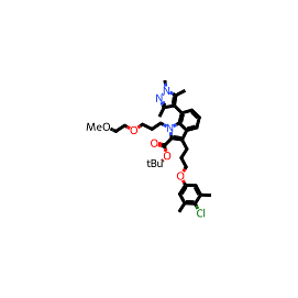 COCCOCCCn1c(C(=O)OC(C)(C)C)c(CCCOc2cc(C)c(Cl)c(C)c2)c2cccc(-c3c(C)nn(C)c3C)c21